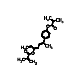 C=C/C(=C\C=C(/C)c1ccc(OC(=O)C(=C)C)cc1)OC(=O)C(=C)C